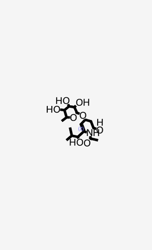 CC(=O)N/C(=C\C(CCO)OC1OC(C)C(O)C(O)C1O)C(O)C(C)C